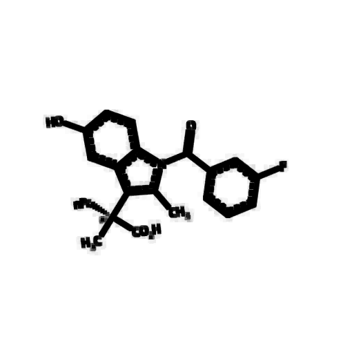 CCC[C@@](C)(C(=O)O)c1c(C)n(C(=O)c2cccc(F)c2)c2ccc(O)cc12